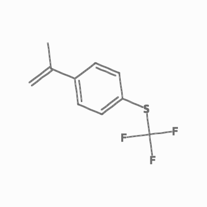 C=C(C)c1ccc(SC(F)(F)F)cc1